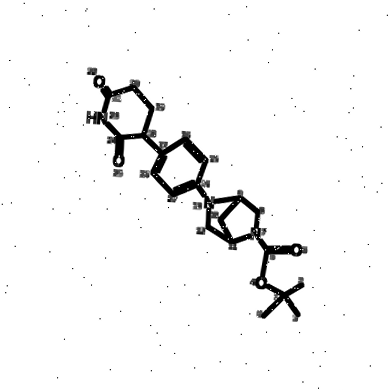 CC(C)(C)OC(=O)N1CC2CC1CN2c1ccc(C2CCC(=O)NC2=O)cc1